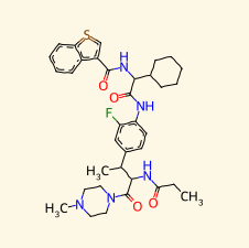 CCC(=O)NC(C(=O)N1CCN(C)CC1)C(C)c1ccc(NC(=O)C(NC(=O)c2csc3ccccc23)C2CCCCC2)c(F)c1